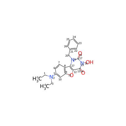 CCN(CC)c1ccc2c(c1)oc1c(=O)n(O)c(=O)n(Cc3ccccc3)c12